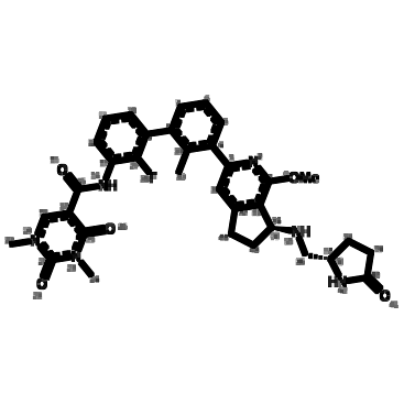 COc1nc(-c2cccc(-c3cccc(NC(=O)c4cn(C)c(=O)n(C)c4=O)c3F)c2C)cc2c1[C@@H](NC[C@@H]1CCC(=O)N1)CC2